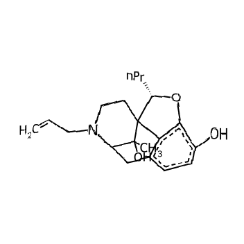 C=CCN1CCC23c4c(ccc(O)c4O[C@H]2CCC)CC1C3(C)O